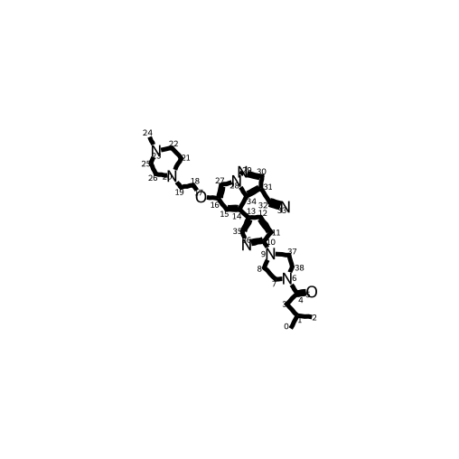 CC(C)CC(=O)N1CCN(c2ccc(-c3cc(OCCN4CCN(C)CC4)cn4ncc(C#N)c34)cn2)CC1